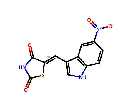 O=C1NC(=O)/C(=C/c2c[nH]c3ccc([N+](=O)[O-])cc23)S1